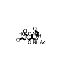 CC(=O)NC1S[C@H]2CC(=O)N2C(C(=O)O)=C1C(=O)N(CCCl)CCCl